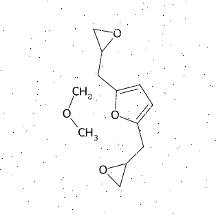 COC.c1cc(CC2CO2)oc1CC1CO1